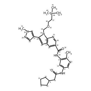 Cc1ncc(NC(=O)CC2CCCC2)cc1NC(=O)c1cnc2c(c1)cc(-c1cnn(C)c1)n2COCC[Si](C)(C)C